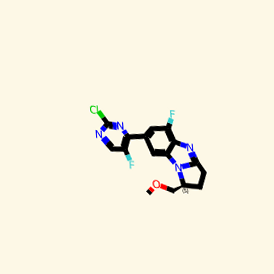 COC[C@@H]1CCc2nc3c(F)cc(-c4nc(Cl)ncc4F)cc3n21